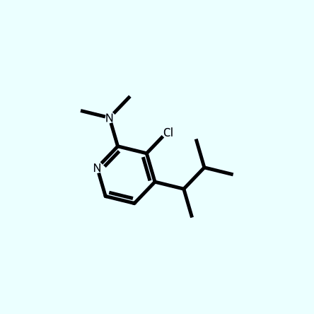 CC(C)C(C)c1ccnc(N(C)C)c1Cl